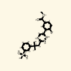 COC(=O)c1ccc(F)c(-c2cnc(CC(C)(C)c3cccc(S(C)(=O)=O)c3)nn2)c1